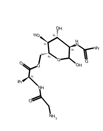 CCCC(=O)N[C@H]1C(O)O[C@H](COC(=O)[C@@H](NC(=O)CN)C(C)C)[C@@H](O)[C@@H]1O